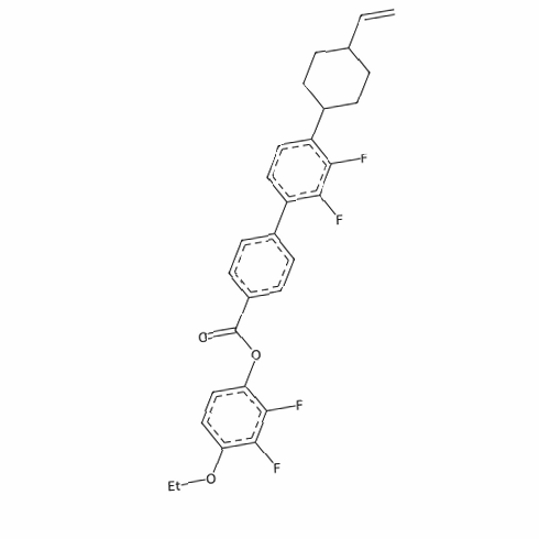 C=CC1CCC(c2ccc(-c3ccc(C(=O)Oc4ccc(OCC)c(F)c4F)cc3)c(F)c2F)CC1